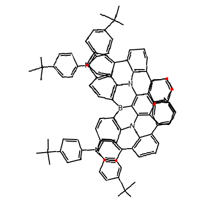 CC(C)(C)c1ccc(N(c2ccc(C(C)(C)C)cc2)c2ccc3c(c2)N(c2c(-c4ccccc4)cccc2-c2ccccc2)c2c4c5c(c6c2B3c2ccc(N(c3ccc(C(C)(C)C)cc3)c3ccc(C(C)(C)C)cc3)cc2N6c2c(-c3ccccc3)cccc2-c2ccccc2)CCCN5CCC4)cc1